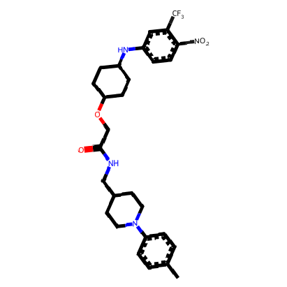 Cc1ccc(N2CCC(CNC(=O)COC3CCC(Nc4ccc([N+](=O)[O-])c(C(F)(F)F)c4)CC3)CC2)cc1